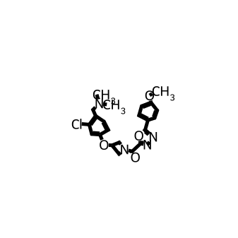 COc1ccc(-c2nnc(C(=O)N3CC(Oc4ccc(CN(C)C)c(Cl)c4)C3)o2)cc1